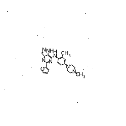 Cc1cc(N2CCN(C)CC2)ccc1Nc1nc(-c2ccco2)nc2cn[nH]c12